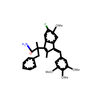 COc1cc2c(cc1F)C(C(C)(Cc1ccccc1)C(N)=O)=C(C)C2=Cc1cc(OC)c(OC)c(OC)c1